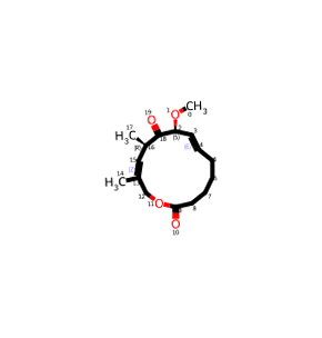 CO[C@H]1/C=C/CCCCC(=O)OC/C(C)=C\[C@@H](C)C1=O